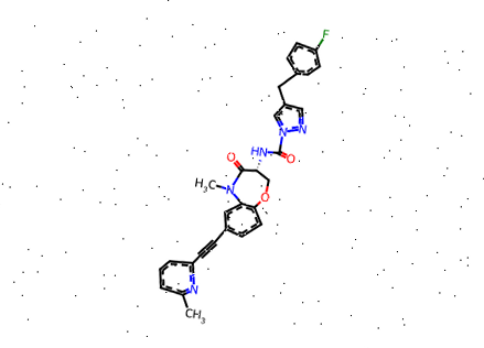 Cc1cccc(C#Cc2ccc3c(c2)N(C)C(=O)[C@H](NC(=O)n2cc(Cc4ccc(F)cc4)cn2)CO3)n1